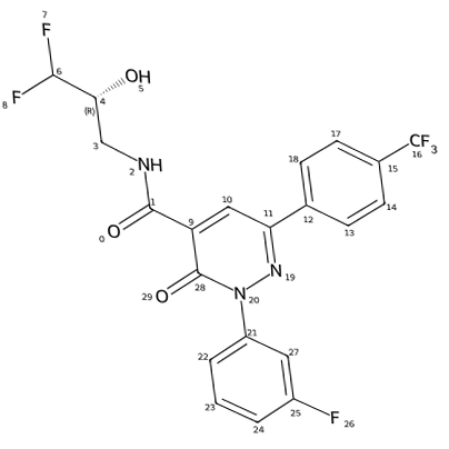 O=C(NC[C@@H](O)C(F)F)c1cc(-c2ccc(C(F)(F)F)cc2)nn(-c2cccc(F)c2)c1=O